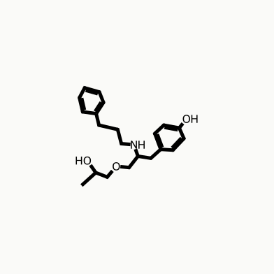 CC(O)COCC(Cc1ccc(O)cc1)NCCCc1ccccc1